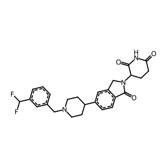 O=C1CCC(N2Cc3cc(C4CCN(Cc5cccc(C(F)F)c5)CC4)ccc3C2=O)C(=O)N1